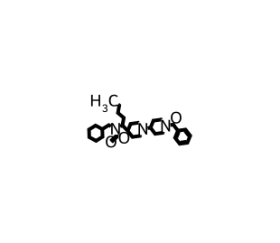 CCCCC1N(CC2CCCCC2)C(=O)OC12CCN(C1CCN(C(=O)c3ccccc3)CC1)CC2